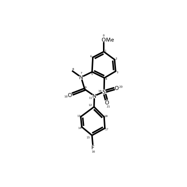 COc1ccc2c(c1)N(C)C(=O)N(c1ccc(F)cc1)S2(=O)=O